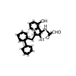 CCc1c(NC(=O)C=O)c2c(O)cccn2c1Cc1ccccc1-c1ccccc1